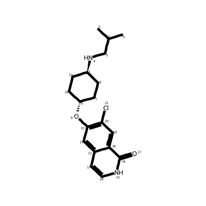 CC(C)CN[C@H]1CC[C@H](Oc2cc3cc[nH]c(=O)c3cc2Cl)CC1